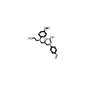 O=Nc1ccc(N(CCO)CC(O)CN(CCO)c2ccc(N=O)cc2)cc1